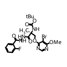 COc1ncnc(OC[C@](C)(NC(=O)OC(C)(C)C)C(=O)NNC(=O)c2ccccc2F)c1Br